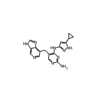 Nc1ncc(Cc2cncc3[nH]cnc23)c(Nc2cc(C3CC3)[nH]n2)n1